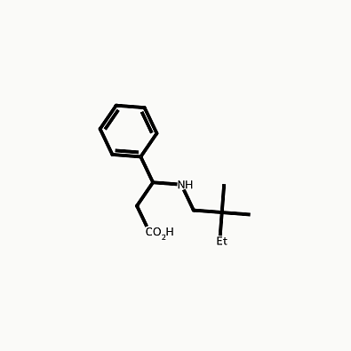 CCC(C)(C)CNC(CC(=O)O)c1ccccc1